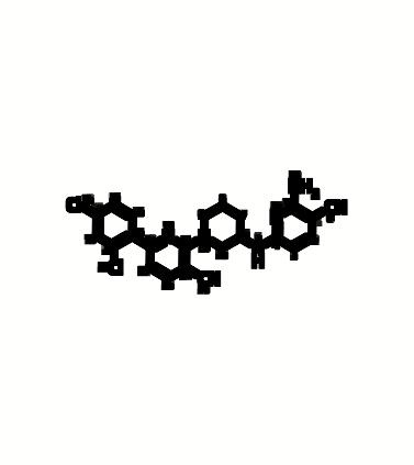 N#Cc1ccc(NC2CCCN(c3nc(-c4ccc(Cl)cc4Cl)ccc3C#N)C2)nc1N